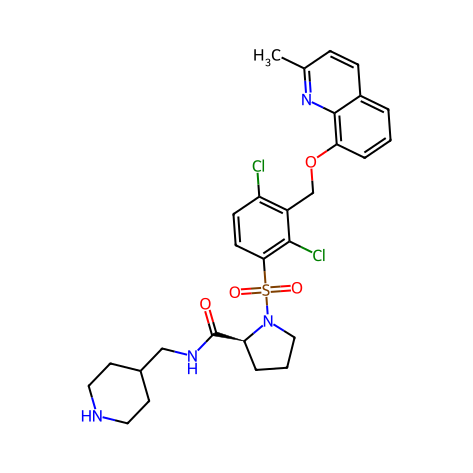 Cc1ccc2cccc(OCc3c(Cl)ccc(S(=O)(=O)N4CCC[C@H]4C(=O)NCC4CCNCC4)c3Cl)c2n1